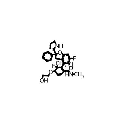 CNC(=O)C1=C(c2c(Cl)c(F)cc3c2C[C@](c2ccccc2)([C@@H]2CCCN2)O3)C(C)(F)C(OCCO)C=C1